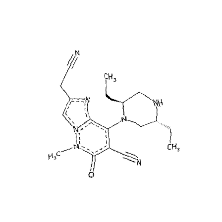 CC[C@@H]1CN(c2c(C#N)c(=O)n(C)n3cc(CC#N)nc23)[C@@H](CC)CN1